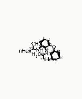 CCCCCCC(C)Nc1cccc(Oc2ccccc2)c1NC(C)CCCCCC